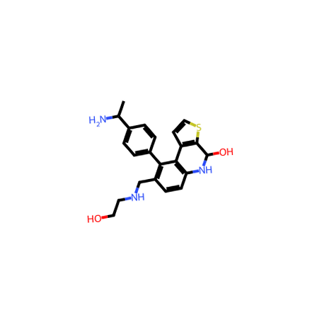 CC(N)c1ccc(-c2c(CNCCO)ccc3c2-c2ccsc2C(O)N3)cc1